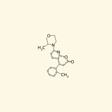 Cc1ccccc1-c1cc(=O)oc2nc(N3CCOCC3C)ccc12